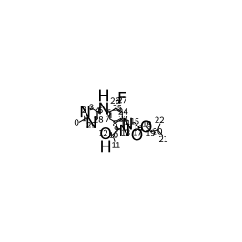 Cc1ncc(Nc2cc3c(C(C)O)nn(CC(=O)OCC(C)C)c3cc2CF)cn1